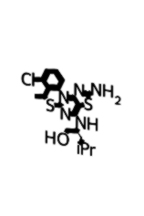 CC(C)C[C@H](CO)Nc1nc(SC(C)c2ccccc2Cl)nc2nc(N)sc12